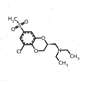 CCN(CC)C[C@H]1COc2c(Cl)cc(S(C)(=O)=O)cc2O1